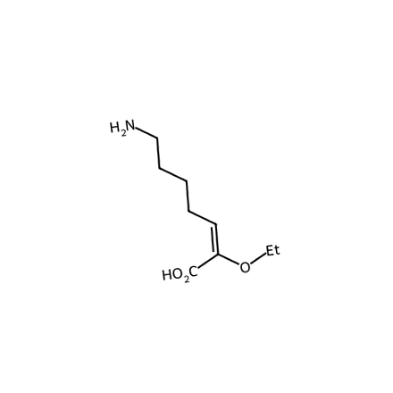 CCOC(=CCCCCN)C(=O)O